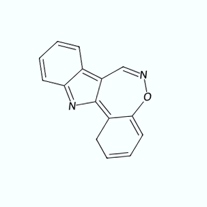 C1=CCC2=C3N=c4ccccc4=C3C=NOC2=C1